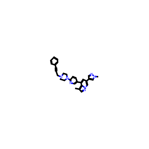 Cc1cnn2cc(-c3cnn(C)c3)cc(-c3ccc(N4CCN(CC#Cc5ccccc5)CC4)nc3)c12